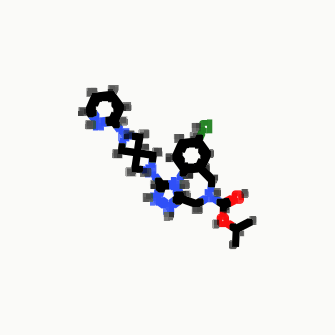 CC(C)OC(=O)N1Cc2cc(Cl)ccc2-n2c(nnc2N2CC3(CN(c4ccccn4)C3)C2)C1